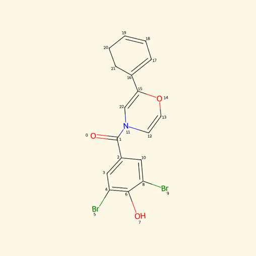 O=C(c1cc(Br)c(O)c(Br)c1)N1C=COC(C2=CC=CCC2)=C1